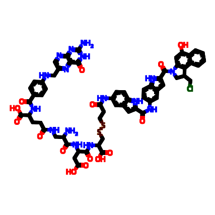 Nc1nc2ncc(CNc3ccc(C(=O)NC(CCC(=O)NCC(N)C(=O)NC(CC(=O)O)C(=O)NC(CSSCCC(=O)Nc4ccc5[nH]c(C(=O)Nc6ccc7[nH]c(C(=O)N8CC(CCl)c9c8cc(O)c8ccccc98)cc7c6)cc5c4)C(=O)O)C(=O)O)cc3)nc2c(=O)[nH]1